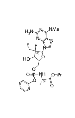 CNc1nc(N)nc2c1ncn2C1OC(CO[P@@](=O)(N[C@@H](C)C(=O)OC(C)C)Oc2ccccc2)C(O)[C@]1(F)CF